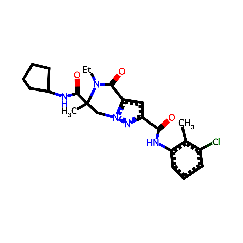 CCN1C(=O)c2cc(C(=O)Nc3cccc(Cl)c3C)nn2CC1(C)C(=O)NC1CCCC1